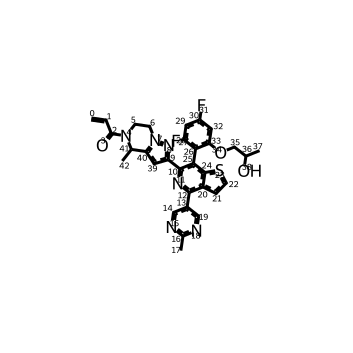 C=CC(=O)N1CCn2nc(-c3nc(-c4cnc(C)nc4)c4ccsc4c3-c3c(F)cc(F)cc3OCC(C)O)cc2C1C